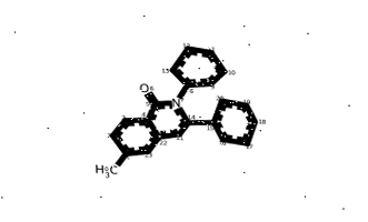 Cc1ccc2c(=O)n(-c3ccccc3)c(-c3ccccc3)cc2c1